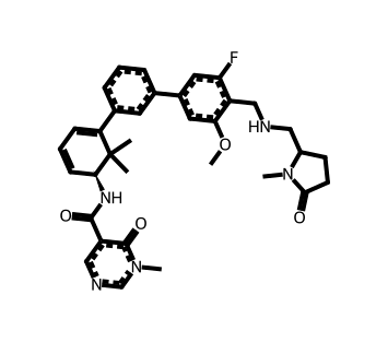 COc1cc(-c2cccc(C3=CC=C[C@H](NC(=O)c4cncn(C)c4=O)C3(C)C)c2)cc(F)c1CNCC1CCC(=O)N1C